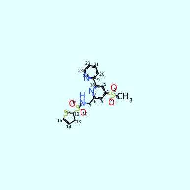 CS(=O)(=O)c1cc(CNS(=O)(=O)C2CC=CS2)nc(-c2ccccn2)c1